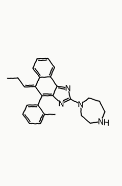 CCC=c1c(-c2ccccc2C)c2c(c3ccccc13)=NC(N1CCCNCC1)=N2